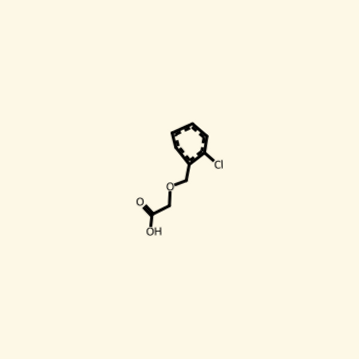 O=C(O)COCc1ccccc1Cl